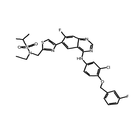 CCN(Cc1nc(-c2cc3c(Nc4ccc(OCc5cccc(F)c5)c(Cl)c4)ncnc3cc2F)cs1)S(=O)(=O)C(C)C